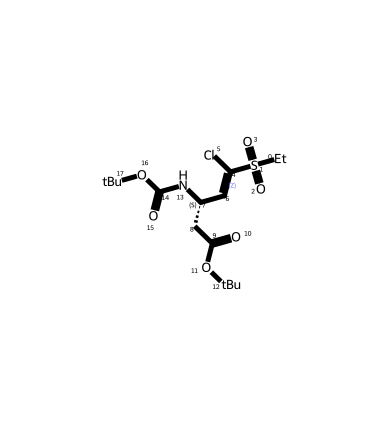 CCS(=O)(=O)/C(Cl)=C/[C@H](CC(=O)OC(C)(C)C)NC(=O)OC(C)(C)C